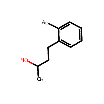 CC(=O)c1ccccc1CCC(C)O